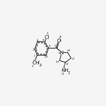 Cc1ccc(Cl)c(C(=O)N2CCC(N)C2)c1